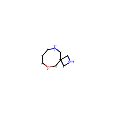 C1CNCC2(CNC2)COC1